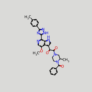 COc1cnc(-c2nc(-c3ccc(C)cc3)n[nH]2)c2[nH]cc(C(=O)C(=O)N3CCN(C(=O)c4ccccc4)C(C)C3)c12